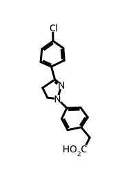 O=C(O)Cc1ccc(N2CCC(c3ccc(Cl)cc3)=N2)cc1